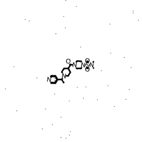 CC(c1ccncc1)N1CCC(C(=O)N2CCN(S(=O)(=O)N(C)C)CC2)CC1